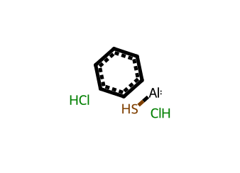 Cl.Cl.[Al][SH].c1ccccc1